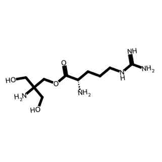 N=C(N)NCCC[C@H](N)C(=O)OCC(N)(CO)CO